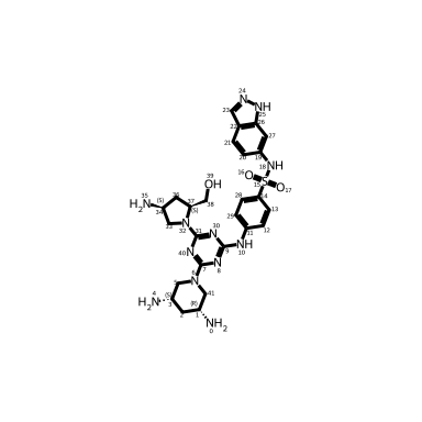 N[C@@H]1C[C@H](N)CN(c2nc(Nc3ccc(S(=O)(=O)Nc4ccc5cn[nH]c5c4)cc3)nc(N3C[C@@H](N)C[C@H]3CO)n2)C1